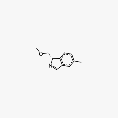 COC[C@H]1N=Cc2cc(C)ccc21